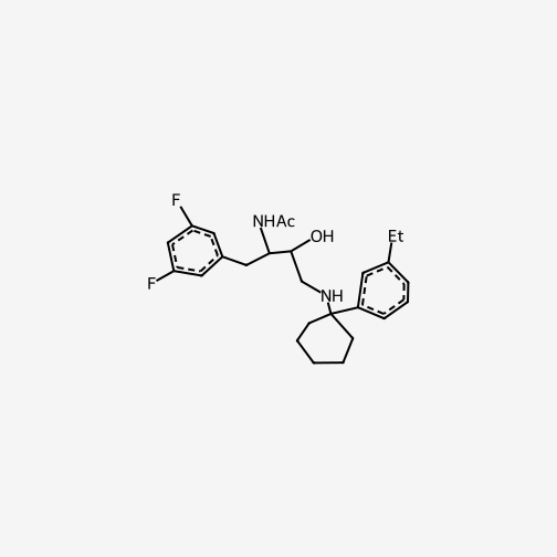 CCc1cccc(C2(NCC(O)C(Cc3cc(F)cc(F)c3)NC(C)=O)CCCCC2)c1